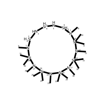 CN1[SiH2]N[SiH2]N[SiH2]N(C)[Si](C)(C)N(C)[Si](C)(C)N(C)[Si](C)(C)N(C)[Si](C)(C)N(C)[Si]1(C)C